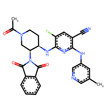 CC(=O)N1CC[C@@H](Nc2nc(Nc3cncc(C)c3)c(C#N)cc2F)[C@@H](N2C(=O)c3ccccc3C2=O)C1